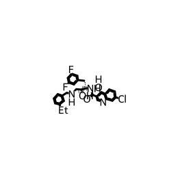 CCc1cccc(CNC[C@H](O)[C@H](Cc2cc(F)cc(F)c2)NC(=O)c2cnc3cc(Cl)ccc3c2O)c1